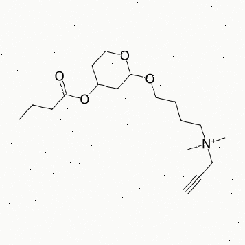 C#CC[N+](C)(C)CCCCOC1CC(OC(=O)CCC)CCO1